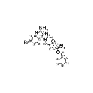 CCOCc1nc2c(N)nc3cc(Br)ccc3c2n1CC1CC(C(=O)OCc2ccccc2)C1